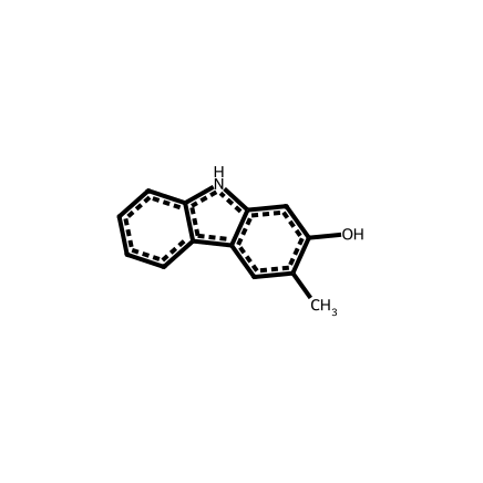 Cc1cc2c(cc1O)[nH]c1ccccc12